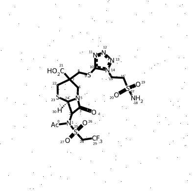 CC(=O)N(C1C(=O)N2CC(CSc3nnnn3CCS(N)(=O)=O)(C(=O)O)CS[C@H]12)S(=O)(=O)CC(F)(F)F